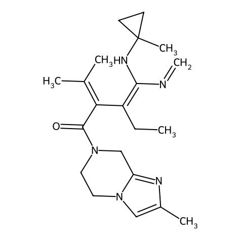 C=N/C(NC1(C)CC1)=C(\CC)C(C(=O)N1CCn2cc(C)nc2C1)=C(C)C